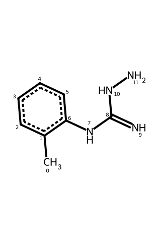 Cc1ccccc1NC(=N)NN